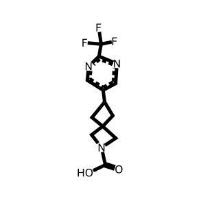 O=C(O)N1CC2(CC(c3cnc(C(F)(F)F)nc3)C2)C1